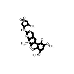 COc1cc(OC)c(Cl)c(-c2cc3cnc(NC4CS(=O)(=O)CC4C)nc3n(C)c2=O)c1Cl